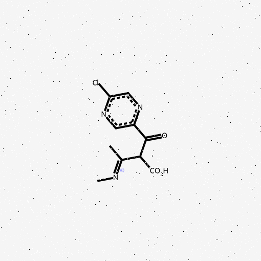 C/N=C(\C)C(C(=O)O)C(=O)c1cnc(Cl)cn1